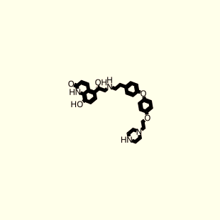 O=c1ccc2c([C@@H](O)CNCCc3ccc(Oc4ccc(OCCN5CCNCC5)cc4)cc3)ccc(O)c2[nH]1